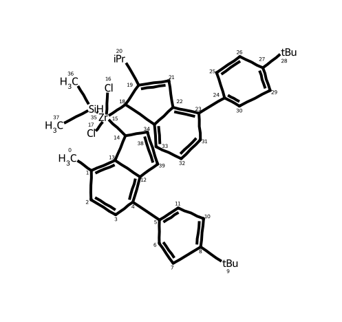 Cc1ccc(-c2ccc(C(C)(C)C)cc2)c2c1[CH]([Zr]([Cl])([Cl])([CH]1C(C(C)C)=Cc3c(-c4ccc(C(C)(C)C)cc4)cccc31)[SiH](C)C)C=C2